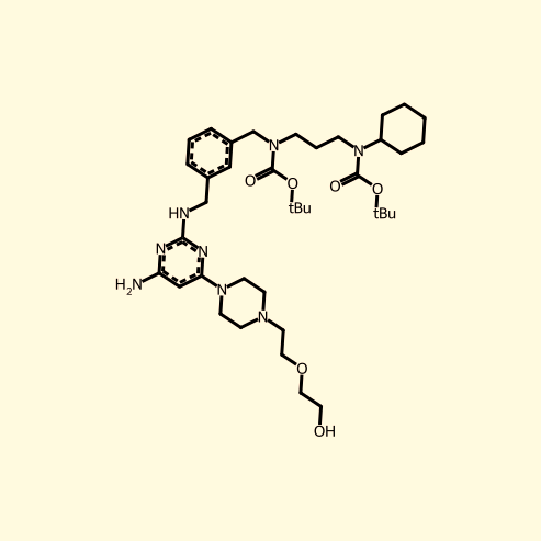 CC(C)(C)OC(=O)N(CCCN(C(=O)OC(C)(C)C)C1CCCCC1)Cc1cccc(CNc2nc(N)cc(N3CCN(CCOCCO)CC3)n2)c1